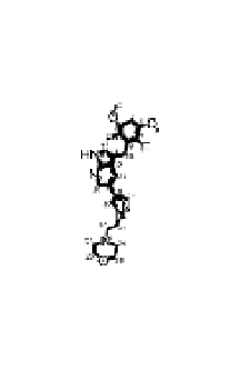 COc1cc(OC)c(F)c(Cc2c[nH]c3ncc(-c4cnn(CCN5CCOCC5)c4)cc23)c1F